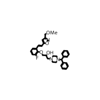 COCc1cc(/C=C/c2cccc(F)c2OCC(O)CN2CCN(C(c3ccccc3)c3ccccc3)CC2)on1